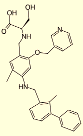 Cc1cc(CN[C@H](CO)C(=O)O)c(OCc2cccnc2)cc1NCc1cccc(-c2ccccc2)c1C